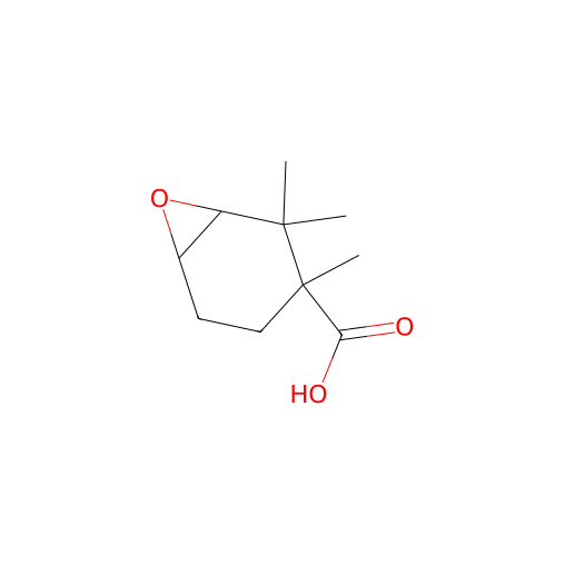 CC1(C(=O)O)CCC2OC2C1(C)C